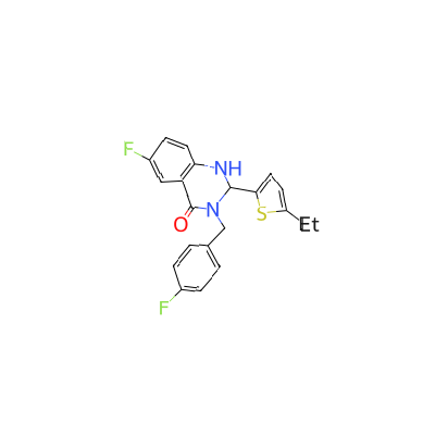 CCc1ccc(C2Nc3ccc(F)cc3C(=O)N2Cc2ccc(F)cc2)s1